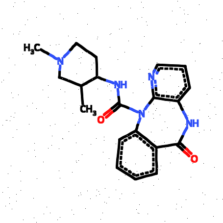 CC1CN(C)CCC1NC(=O)N1c2ccccc2C(=O)Nc2cccnc21